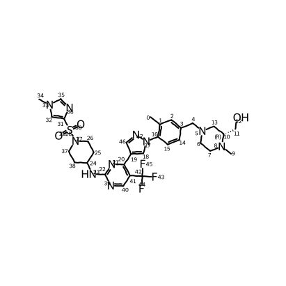 Cc1cc(CN2CCN(C)[C@@H](CO)C2)ccc1-n1cc(-c2nc(NC3CCN(S(=O)(=O)c4cn(C)cn4)CC3)ncc2C(F)(F)F)cn1